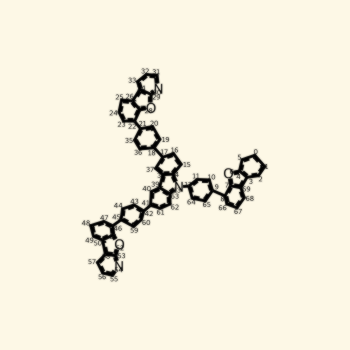 c1ccc2c(c1)oc1c(-c3ccc(-n4c5ccc(-c6ccc(-c7cccc8c7oc7ncccc78)cc6)cc5c5cc(-c6ccc(-c7cccc8c7oc7ncccc78)cc6)ccc54)cc3)cccc12